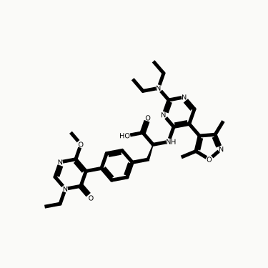 CCN(CC)c1ncc(-c2c(C)noc2C)c(N[C@@H](Cc2ccc(-c3c(OC)ncn(CC)c3=O)cc2)C(=O)O)n1